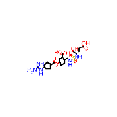 N=C(N)Nc1ccc(C(=O)Oc2ccc(CNS(=O)(=O)N[C@@H](CCC(=O)O)C(=O)O)c(C(=O)O)c2)cc1